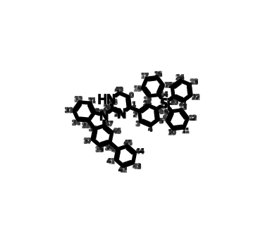 C1=C(c2cccc([Si](c3ccccc3)(c3ccccc3)c3ccccc3)c2)N=C(n2c3ccccc3c3ccc(-c4ccccc4)cc32)NC1